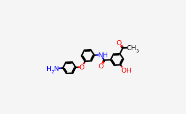 CC(=O)c1cc(O)cc(C(=O)Nc2cccc(Oc3ccc(N)cc3)c2)c1